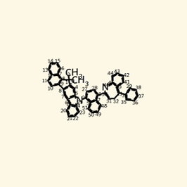 CC1(C)c2cc3c(cc2-c2ccc4ccccc4c21)c1ccccc1n3-c1ccc(C2=CCC(c3ccccc3)=c3ccccc3=N2)c2ccccc12